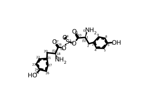 N[C@@H](Cc1ccc(O)cc1)C(=O)OS(=O)OC(=O)[C@@H](N)Cc1ccc(O)cc1